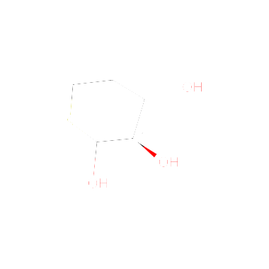 OC1SCC[C@H](O)[C@H]1O